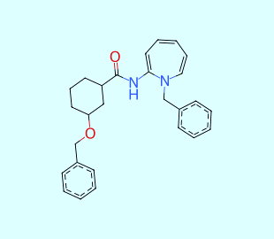 O=C(NC1=CC=CC=CN1Cc1ccccc1)C1CCCC(OCc2ccccc2)C1